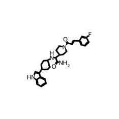 NC(=O)C(NC1CCC(c2c[nH]c3ccccc23)CC1)C1CCN(C(=O)C=Cc2cccc(F)c2)CC1